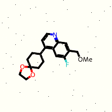 COCc1cc2nccc(C3CCC4(CC3)OCCO4)c2cc1F